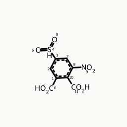 O=C(O)c1cc([SH](=O)=O)cc([N+](=O)[O-])c1C(=O)O